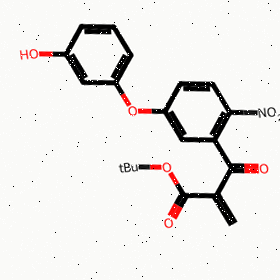 C=C(C(=O)OC(C)(C)C)C(=O)c1cc(Oc2cccc(O)c2)ccc1[N+](=O)[O-]